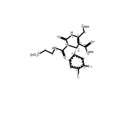 CCOC(=O)CCNC(=O)N1C(=O)NC(COC)=C(C(=O)OC)[C@@H]1c1ccc(F)c(F)c1